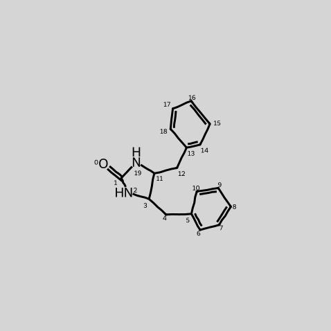 O=C1NC(Cc2ccccc2)C(Cc2ccccc2)N1